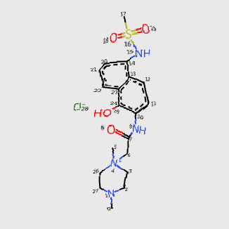 CN1CC[N+](C)(CC(=O)Nc2ccc3c(NS(C)(=O)=O)cccc3c2O)CC1.[Cl-]